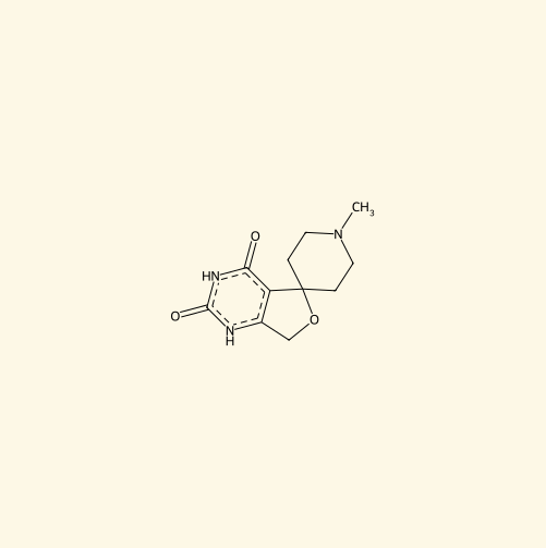 CN1CCC2(CC1)OCc1[nH]c(=O)[nH]c(=O)c12